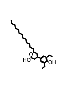 CCCCCCCCCCCCCCCC(CC(=O)O)c1cc(CC)c(O)c(CC)c1